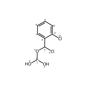 OP(O)OC(Cl)c1ccccc1Cl